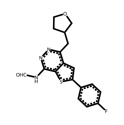 O=CNc1nnc(CC2CCOC2)c2cc(-c3ccc(F)cc3)sc12